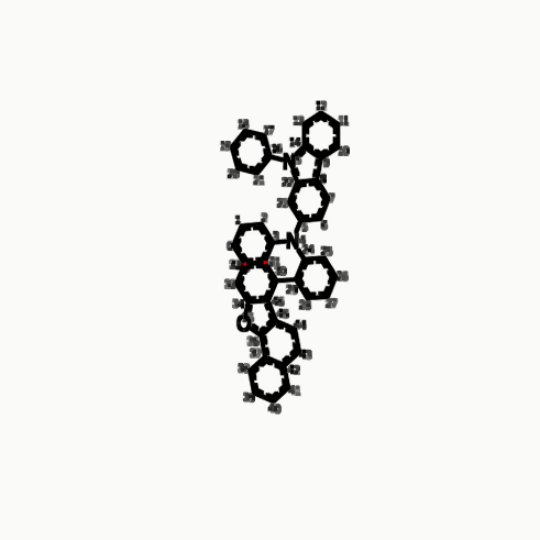 c1ccc(N(c2ccc3c4ccccc4n(-c4ccccc4)c3c2)c2ccccc2-c2cccc3oc4c5ccccc5ccc4c23)cc1